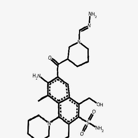 Cc1c(N)c(C(=O)C2CCCN(C=NN)C2)cc2c(CO)c(S(N)(=O)=O)c(CC=O)c(N3CCCCC3)c12